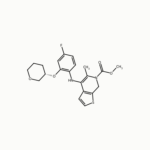 COC(=O)N1Cc2sccc2C(Nc2ccc(F)cc2O[C@H]2CCCOC2)=C1C